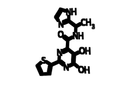 CC(NC(=O)c1nc(-c2cccs2)nc(O)c1O)c1ncc[nH]1